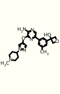 Cc1cc(-c2cnc(N)c(Oc3cnn(C4CCN(C)CC4)c3)n2)cc(C2(O)COC2)c1